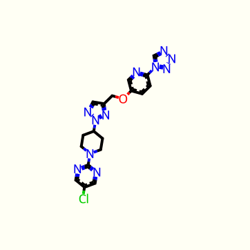 Clc1cnc(N2CCC(n3ncc(COc4ccc(-n5cnnn5)nc4)n3)CC2)nc1